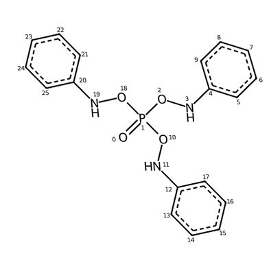 O=P(ONc1ccccc1)(ONc1ccccc1)ONc1ccccc1